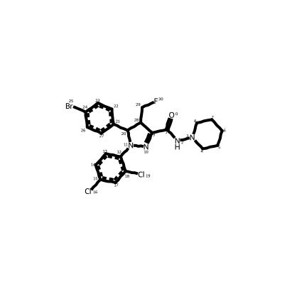 O=C(NN1CCCCC1)C1=NN(c2ccc(Cl)cc2Cl)C(c2ccc(Br)cc2)C1CF